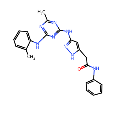 Cc1nc(Nc2cc(CC(=O)Nc3ccccc3)[nH]n2)nc(Nc2ccccc2C)n1